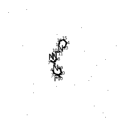 FC1(F)CCN(c2cnn(CCN3CCCCC3)c2)CC1